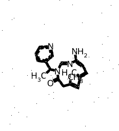 CC1=C\C=C(N)/N=C/N(C(C)c2cccnc2)C(=O)C\C(C)=C\1